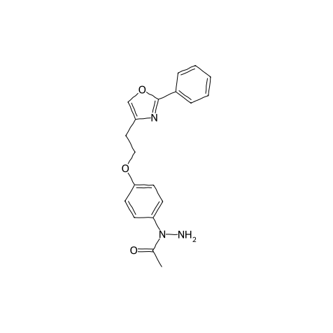 CC(=O)N(N)c1ccc(OCCc2coc(-c3ccccc3)n2)cc1